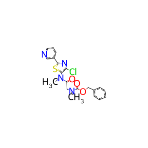 CN(CC(=O)N(C)c1sc(-c2cccnc2)nc1Cl)C(=O)OCc1ccccc1